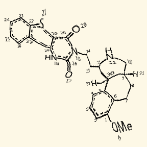 COc1cccc2c1CC[C@H]1CNC(CCn3c(=O)[nH]c4c(sc5ccccc54)c3=O)[C@@H]21